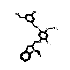 COc1cc(C)c(NCC2Cc3ccccc3N2C=O)cc1OCc1cc(N)cc(CO)c1